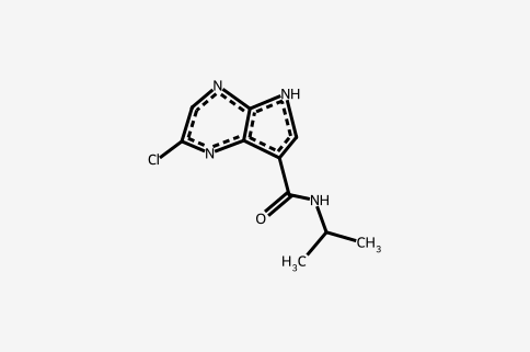 CC(C)NC(=O)c1c[nH]c2ncc(Cl)nc12